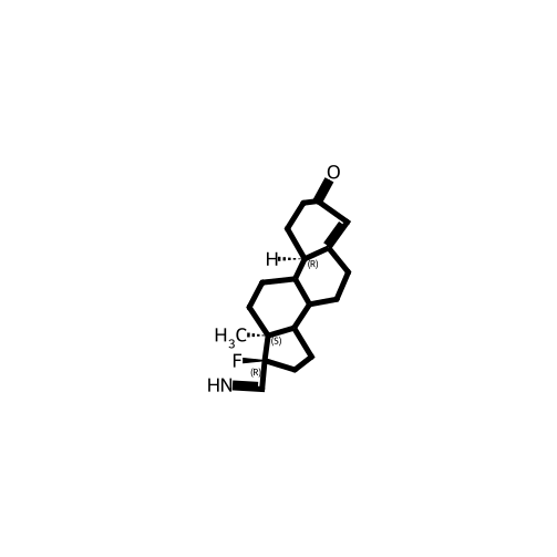 C[C@]12CCC3C(CCC4=CC(=O)CC[C@@H]43)C1CC[C@]2(F)C=N